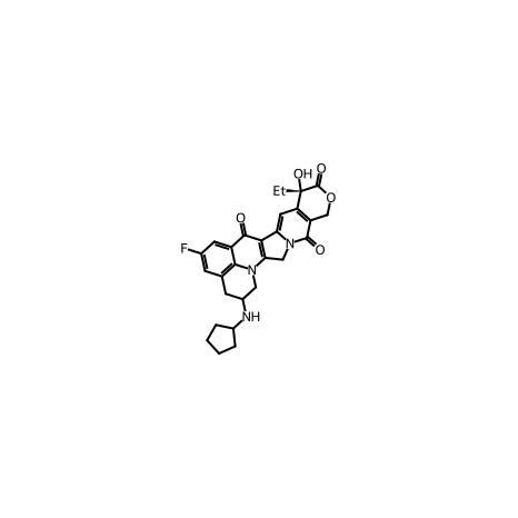 CC[C@@]1(O)C(=O)OCc2c1cc1n(c2=O)Cc2c-1c(=O)c1cc(F)cc3c1n2CC(NC1CCCC1)C3